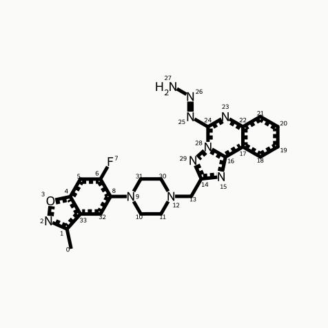 Cc1noc2cc(F)c(N3CCN(Cc4nc5c6ccccc6nc(N=NN)n5n4)CC3)cc12